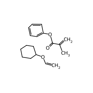 C=C(C)C(=O)Oc1ccccc1.C=COC1CCCCC1